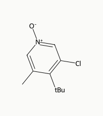 Cc1c[n+]([O-])cc(Cl)c1C(C)(C)C